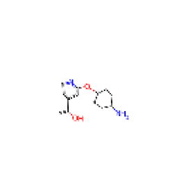 C=C(O)c1ccnc(OC2CCC(N)CC2)c1